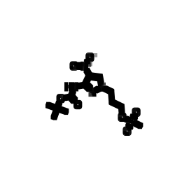 CC(C)(C)OC(=O)Nc1nn(CCCOS(C)(=O)=O)cc1[N+](=O)[O-]